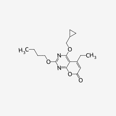 CCCCOc1nc(OCC2CC2)c2c(CC)cc(=O)oc2n1